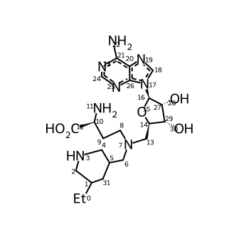 CCC1CNCC(CN(CC[C@H](N)C(=O)O)C[C@H]2O[C@@H](n3cnc4c(N)ncnc43)[C@H](O)[C@@H]2O)C1